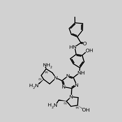 Cc1ccc(C(=O)Nc2ccc(Nc3nc(N4C[C@H](N)C[C@H](N)C4)nc(N4C[C@H](O)C[C@H]4CN)n3)cc2O)cc1